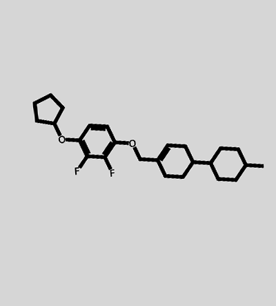 CC1CCC(C2CC=C(COc3ccc(OC4CCCC4)c(F)c3F)CC2)CC1